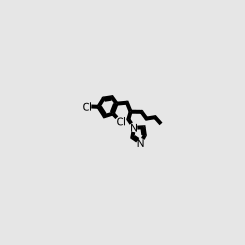 CCCCC(Cc1ccc(Cl)cc1Cl)Cn1ccnc1